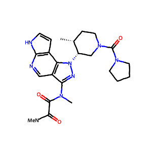 CNC(=O)C(=O)N(C)c1nn([C@H]2CN(C(=O)N3CCCC3)CC[C@H]2C)c2c1cnc1[nH]ccc12